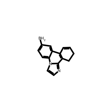 Bc1ccc2c(c1)c1c(c3nccn32)CCC=C1